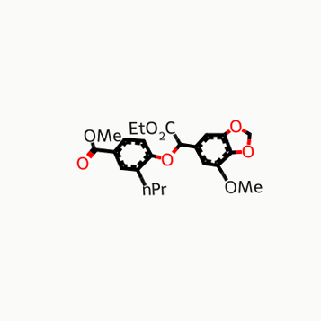 CCCc1cc(C(=O)OC)ccc1OC(C(=O)OCC)c1cc(OC)c2c(c1)OCO2